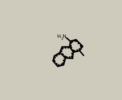 Cc1ccc(N)c2cc3ccccc3cc12